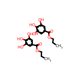 CCCOC(=O)c1cc(O)c(O)c(O)c1.CCCOC(=O)c1cc(O)c(O)c(O)c1